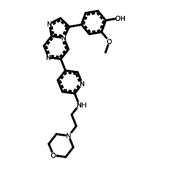 COc1cc(-c2cnc3cnc(-c4ccc(NCCN5CCOCC5)nc4)cn23)ccc1O